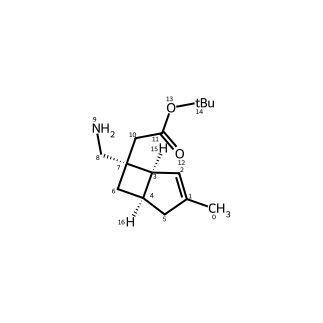 CC1=C[C@H]2[C@@H](C1)C[C@@]2(CN)CC(=O)OC(C)(C)C